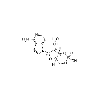 Nc1ncnc2c1ncn2[C@@H]1O[C@@H]2COP(=O)(O)O[C@H]2[C@H]1O.O